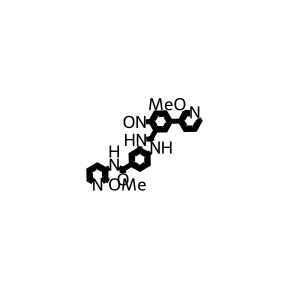 COc1ncccc1NC(=O)c1ccc2c(c1)NC(c1cc(-c3cccnc3OC)ccc1N=O)N2